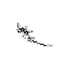 CCCCCCCCCCCCCCSCCCOP(=O)(O)OC[C@H]1O[C@@](C)(c2ccc3c(N)ncnn23)[C@H](O)[C@@H]1O